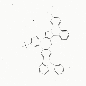 Cc1ccc2[n+](c1)C1CC3=C(Cc4cc5c(cc4-c4cc(C(C)(C)C)cc[n+]43)c3cccc4c6ccccc6n5c43)C1c1ccccc1-2